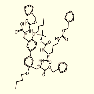 CCCCOc1ccc(-c2ccc(OCCCC)c(C[C@H](NC(=O)[C@H](CCCNC(=O)OCc3ccccc3)NC(=O)OC(C)(C)C)C(=O)OCc3ccccc3)c2)cc1C[C@H](NC(=O)OCc1ccccc1)C(=O)O